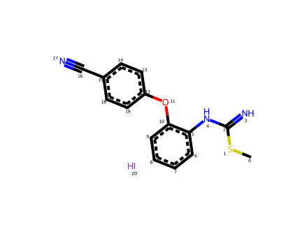 CSC(=N)Nc1ccccc1Oc1ccc(C#N)cc1.I